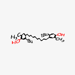 Cc1cc(CCCCCCCCCCc2cc(C)c(O)cc2C(C)(C)C)c(C(C)(C)C)cc1O